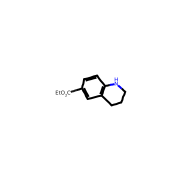 CCOC(=O)c1ccc2c(c1)CCCN2